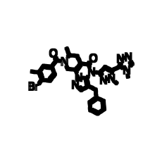 Cc1cc(C(=O)N2Cc3c(c(=O)n(-c4cc(-c5nncn5C)n(C)n4)c4c(Cc5ccccc5)cnn34)CC2C)ccc1Br